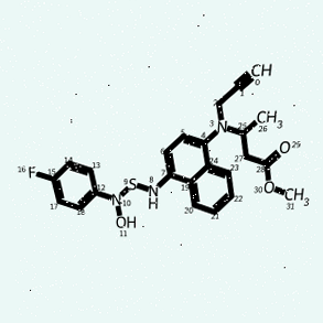 C#CCN(c1ccc(NSN(O)c2ccc(F)cc2)c2ccccc12)C(C)CC(=O)OC